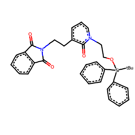 CC(C)(C)[Si](OCCn1cccc(CCN2C(=O)c3ccccc3C2=O)c1=O)(c1ccccc1)c1ccccc1